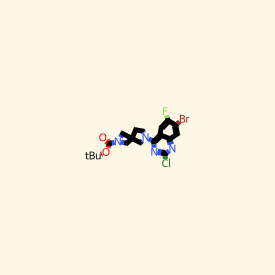 CC(C)(C)OC(=O)N1CC2(CCN(c3nc(Cl)nc4cc(Br)c(F)cc34)C2)C1